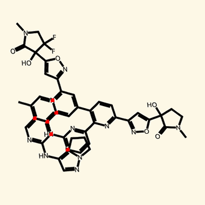 Cc1cncc(Nc2nccc(-c3nc(-c4cc(C5(O)CCN(C)C5=O)on4)ccc3-c3cc(-c4cc(C5(O)C(=O)N(C)CC5(F)F)on4)nc(-c4ccnc(Nc5cnn6c5CCC6)n4)c3)n2)c1